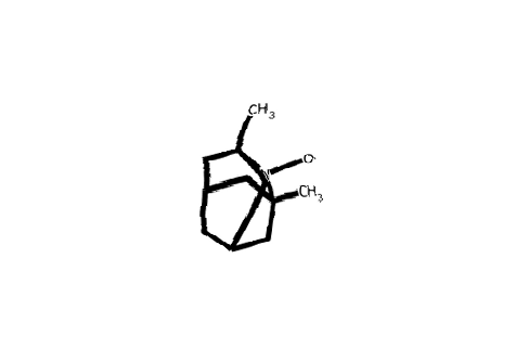 CC12CC3CC(C1)CC(C)(C3)N2[O]